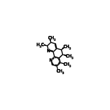 Cc1cnc2c(c1C)[C@H](C)[C@H](C)C1=C[C@H](C)[C@H](C)N=C12